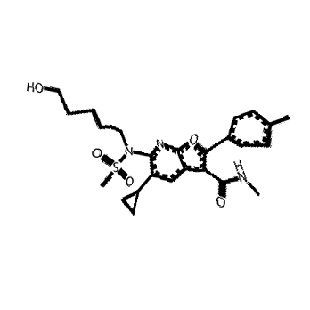 CNC(=O)c1c(-c2ccc(C)cc2)oc2nc(N(CCCCCO)S(C)(=O)=O)c(C3CC3)cc12